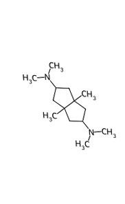 CN(C)C1CC2(C)CC(N(C)C)CC2(C)C1